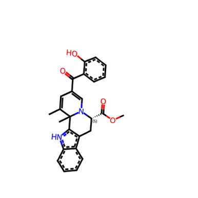 COC(=O)[C@@H]1Cc2c([nH]c3ccccc23)C2(C)C(C)=CC(C(=O)c3ccccc3O)=CN12